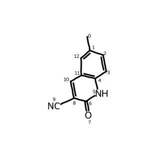 Cc1ccc2[nH]c(=O)c(C#N)cc2c1